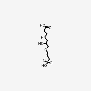 O=C(O)CCNCC(O)COCCCS(=O)(=O)O